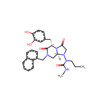 CCCN(C(=O)NC)N1CC(=O)N2[C@@H](Cc3ccc(O)c(O)c3)C(=O)N(Cc3cccc4ccccc34)C[C@@H]21